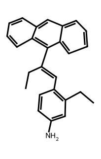 CCC(=Cc1ccc(N)cc1CC)c1c2ccccc2cc2ccccc12